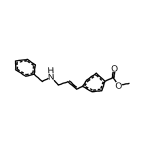 COC(=O)c1ccc(/C=C/CNCc2ccccc2)cc1